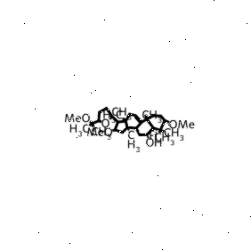 COC1C[C@@]2(C)C3C[C@H](O)[C@@H]4C(C)(CCC(OC)C4(C)C)C3=CCC2(C)C1[C@@]1(C)CCC(C(C)(C)OC)O1